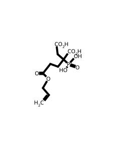 C=CCOC(=O)CCC(CC(=O)O)(C(=O)O)P(=O)(O)O